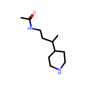 CC(=O)NCCC(C)C1CCNCC1